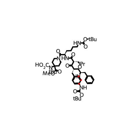 COC(=O)C1(N(C(=O)O)C(C)(C)C)CCN(C(=O)[C@@H](CCCCNC(=O)OC(C)(C)C)NC(=O)[C@H](CC(C)C)C(=O)[C@@H](Cc2ccccc2)C(=O)[C@@H](Cc2ccccc2)NCCNC(=O)OC(C)(C)C)CC1